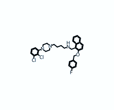 Fc1ccc(COc2ccc3ccccc3c2CNCCCCN2CCN(c3cccc(Cl)c3Cl)CC2)cc1